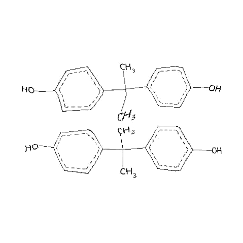 CC(C)(c1ccc(O)cc1)c1ccc(O)cc1.CC(C)(c1ccc(O)cc1)c1ccc(O)cc1